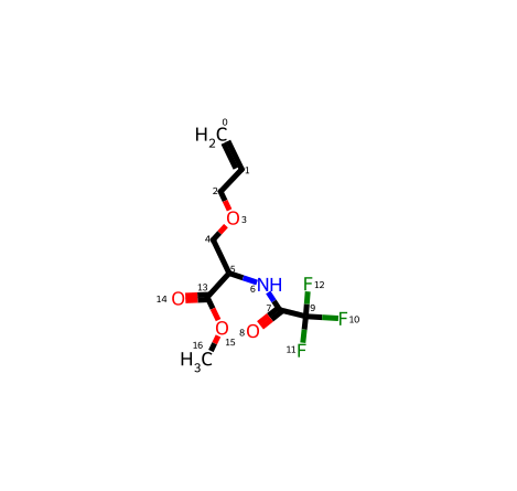 C=CCOCC(NC(=O)C(F)(F)F)C(=O)OC